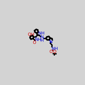 CC(C)(C)OC(=O)NCCCn1ccc2ccc(CNCc3[nH]c4ccccc4c3C3NC(=O)c4ccc(O)cc43)cc21